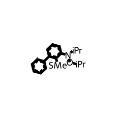 CSc1c(-c2[c]cccc2)cccc1N(OC(C)C)C(C)C